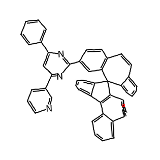 C1=Cc2ccc(-c3nc(-c4ccccc4)cc(-c4cccnc4)n3)cc2C2(c3ccccc31)c1ccccc1-c1c2c2ccccc2c2ccccc12